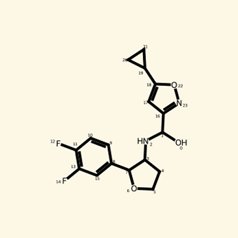 OC(NC1CCOC1c1ccc(F)c(F)c1)c1cc(C2CC2)on1